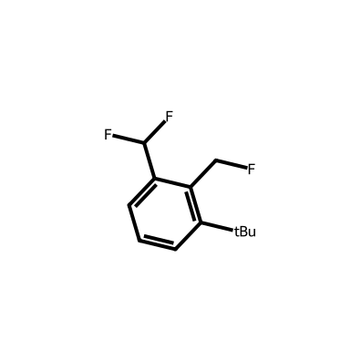 CC(C)(C)c1cccc(C(F)F)c1CF